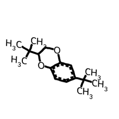 CC(C)(C)c1ccc2c(c1)OCC(C(C)(C)C)O2